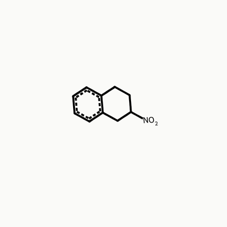 O=[N+]([O-])C1CCc2ccccc2C1